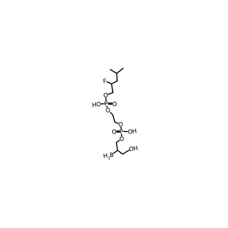 BC(CO)COP(=O)(O)OCCOP(=O)(O)OCC(F)CC(C)C